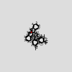 CC1=Cc2ccccc2[CH]1[Zr]([CH3])([CH3])(=[SiH2])([O]c1ccc(F)cc1)([O]c1ccc(F)cc1)[CH]1C(C)=Cc2ccccc21